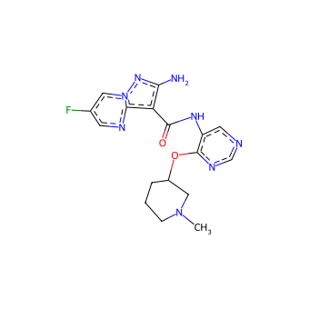 CN1CCCC(Oc2ncncc2NC(=O)c2c(N)nn3cc(F)cnc23)C1